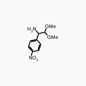 COC(OC)C(N)c1ccc([N+](=O)[O-])cc1